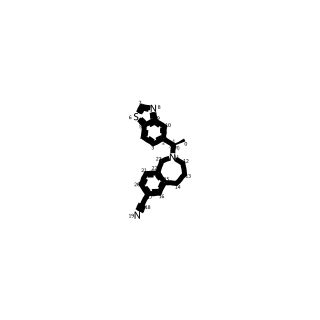 C[C@H](c1ccc2scnc2c1)N1CCCc2cc(C#N)ccc2C1